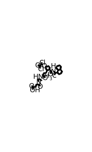 CC(NC(=O)c1ccccc1CCC(=O)NC1CN(C(=O)/C=C/C(=O)O)C1)c1cccc2ccccc12.O=C(Cl)C(=O)Cl